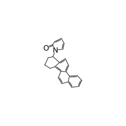 O=c1ccccn1C1CCCc2c1ccc1c2ccc2ccccc21